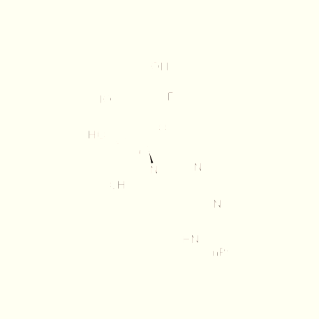 C#C[C@]1(O)[C@H](n2ccc3c(NCCC)ncnc32)O[C@](F)(CO)[C@H]1O